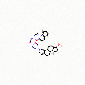 CCCN(C(=O)c1ccc2ccccc2n1)[C@@H](C)C(=O)N1CCN(c2ccc3c(c2)C2CC[C@@]4(C)C(CC[C@]4(C)O)[C@@H]2CC3)CC1